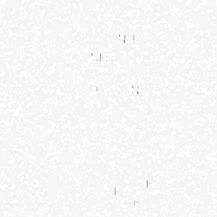 CC(=O)Nc1ccccc1NC1CCN(C(=O)Cc2ccc(C(F)(F)F)cc2)CC1